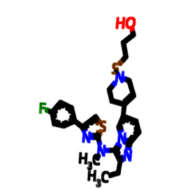 CCc1nc2ccc(C3=CCN(SCCCO)CC3)cn2c1N(C)c1nc(-c2ccc(F)cc2)cs1